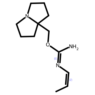 C/C=C\N=C(/N)OCC12CCCN1CCC2